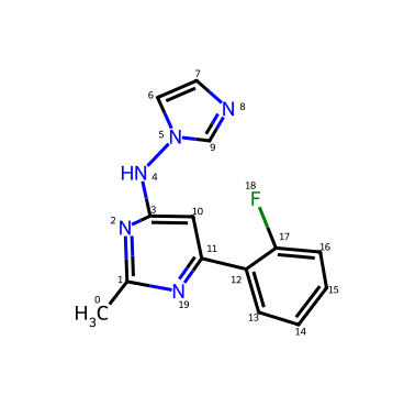 Cc1nc(Nn2ccnc2)cc(-c2ccccc2F)n1